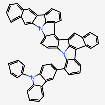 c1ccc(-n2c3ccccc3c3cc(-c4cccc5c6c7ccccc7cc7c8c9c%10cccc%11c%12cc%13ccccc%13cc%12n(c9ccc8n(c45)c76)c%11%10)ccc32)cc1